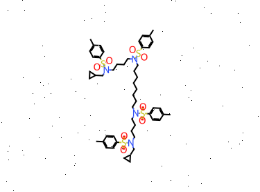 Cc1ccc(S(=O)(=O)N(CCCCCCCCN(CCCCN(CC2CC2)S(=O)(=O)c2ccc(C)cc2)S(=O)(=O)c2ccc(C)cc2)CCCCN(CC2CC2)S(=O)(=O)c2ccc(C)cc2)cc1